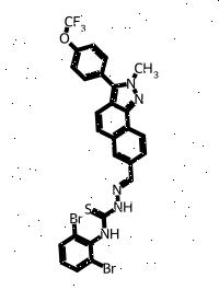 Cn1nc2c(ccc3cc(C=NNC(=S)Nc4c(Br)cccc4Br)ccc32)c1-c1ccc(OC(F)(F)F)cc1